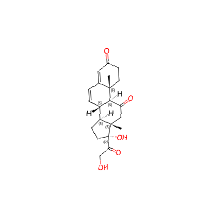 C[C@]12CCC(=O)C=C1C=C[C@@H]1[C@@H]2C(=O)C[C@@]2(C)[C@H]1CC[C@]2(O)C(=O)CO